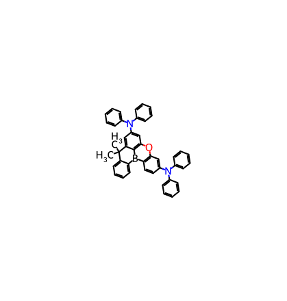 CC1(C)c2ccccc2B2c3ccc(N(c4ccccc4)c4ccccc4)cc3Oc3cc(N(c4ccccc4)c4ccccc4)cc1c32